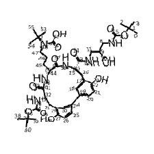 CC(C)(C)OC(=O)NCC(O)CNC(=O)[C@@H]1Cc2cc(ccc2O)-c2ccc(O)c(c2)C[C@H](NC(=O)OC(C)(C)C)C(=O)N[C@@H](CCCN(C(=O)O)C(C)(C)C)C(=O)N1